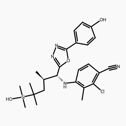 Cc1c(N[C@@H](c2nnc(-c3ccc(O)cc3)o2)[C@H](C)CC(C)(C)[Si](C)(C)O)ccc(C#N)c1Cl